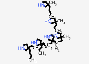 CCC1(C)CCNC1.CCC1(CC)CCNC1.CCCC1(C)CCNC1.CCCC1(CC)CCNC1.CCCCC1(C)CCNC1.CCCCC1(CC)CCNC1